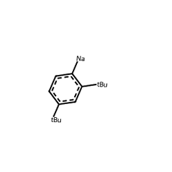 CC(C)(C)c1cc[c]([Na])c(C(C)(C)C)c1